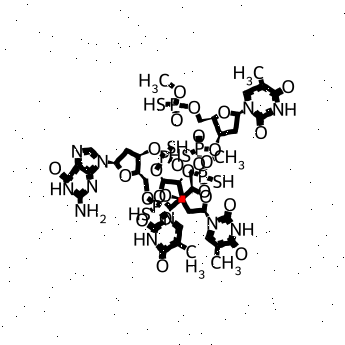 COP(=O)(S)OC[C@H]1O[C@@H](n2cc(C)c(=O)[nH]c2=O)C[C@H]1OP(=O)(S)OC[C@H]1O[C@@H](n2cc(C)c(=O)[nH]c2=O)C[C@H]1OP(=O)(S)OC[C@H]1O[C@@H](n2cnc3c(=O)[nH]c(N)nc32)C[C@H]1OP(=O)(S)O[C@H]1O[C@@H](n2cc(C)c(=O)[nH]c2=O)C[C@H]1OP(=O)(S)OC